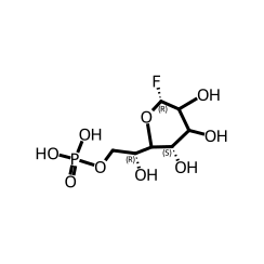 O=P(O)(O)OC[C@@H](O)C1O[C@H](F)C(O)C(O)[C@@H]1O